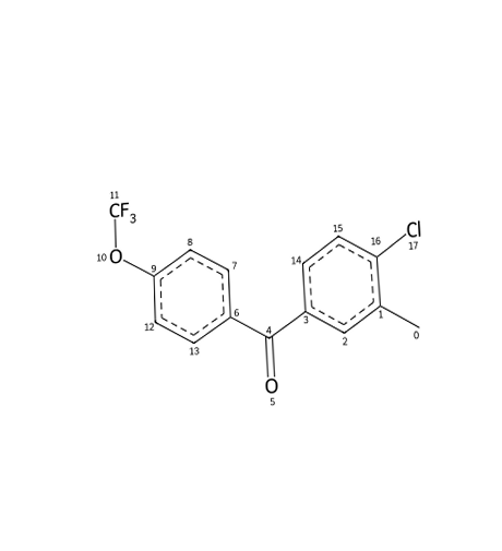 Cc1cc(C(=O)c2ccc(OC(F)(F)F)cc2)ccc1Cl